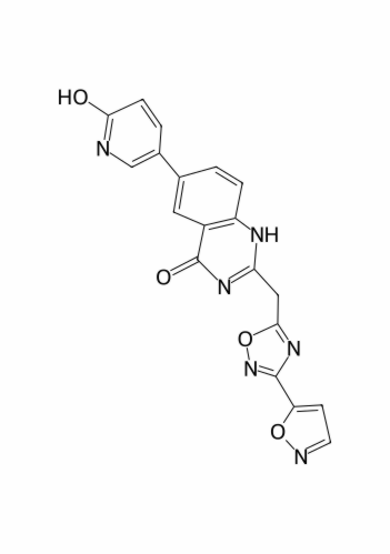 O=c1nc(Cc2nc(-c3ccno3)no2)[nH]c2ccc(-c3ccc(O)nc3)cc12